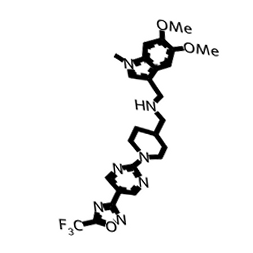 COc1cc2c(CNCC3CCN(c4ncc(-c5noc(C(F)(F)F)n5)cn4)CC3)cn(C)c2cc1OC